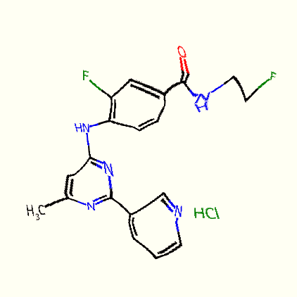 Cc1cc(Nc2ccc(C(=O)NCCF)cc2F)nc(-c2cccnc2)n1.Cl